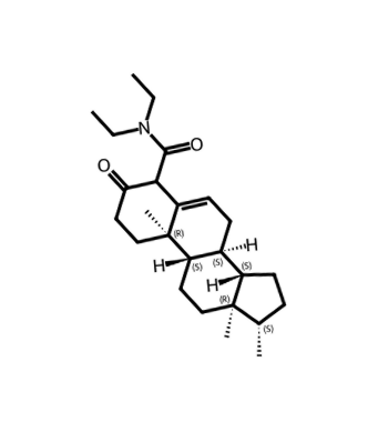 CCN(CC)C(=O)C1C(=O)CC[C@@]2(C)C1=CC[C@H]1[C@@H]3CC[C@H](C)[C@@]3(C)CC[C@@H]12